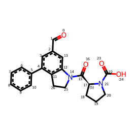 O=Cc1cc(-c2ccccc2)c2c(c1)N(C(=O)[C@@H]1CCCN1C(=O)O)CC2